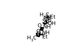 CC[C@@H](Nc1c(Nc2csc(S(=O)(=O)N(C)CC)c2O)c(=O)c1=O)c1cc(C)co1